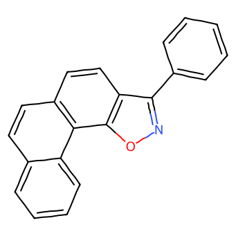 c1ccc(-c2noc3c2ccc2ccc4ccccc4c23)cc1